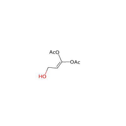 CC(=O)OC(=CCO)OC(C)=O